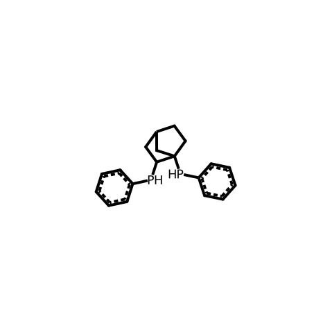 c1ccc(PC2CC3CCC2(Pc2ccccc2)C3)cc1